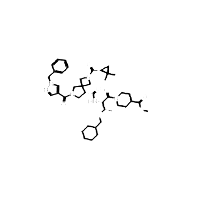 COC(=O)C1CCN(C(=O)[C@@H](NC(=O)[C@@H]2CN(C(=O)c3cnn(Cc4ccccc4)c3)CC23CN(C(=O)[C@H]2CC2(C)C)C3)[C@@H](C)OCC2CCCCC2)CC1